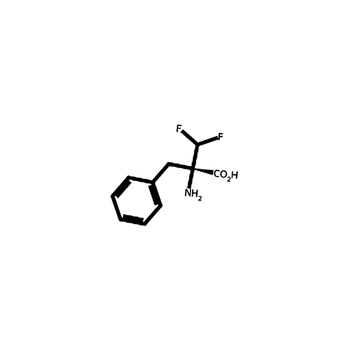 N[C@@](Cc1ccccc1)(C(=O)O)C(F)F